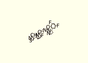 Cc1nscc1-c1ccc(F)c(OC2CN(C(=O)N3N=CCC3c3cc(F)cc(F)c3)C2)n1